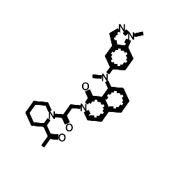 CC(=O)C1CCCCN1C(=O)Cn1ccc2cccc(N(C)c3ccc4c(cnn4C)c3)c2c1=O